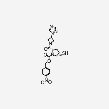 O=C([C@@H]1C[C@H](S)CN1C(=O)OCc1ccc([N+](=O)[O-])cc1)N1CC(n2cncn2)C1